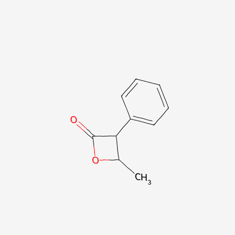 CC1OC(=O)C1c1ccccc1